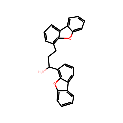 BC(CCc1cccc2c1oc1ccccc12)c1cccc2c1oc1ccccc12